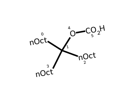 CCCCCCCCC(CCCCCCCC)(CCCCCCCC)OC(=O)O